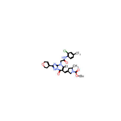 CCc1c(/C=C2\C[C@@H](C)N(C(=O)OC(C)(C)C)C2)c(=O)n2nc(C3=CCOCC3)nc2n1CC(=O)Nc1ccc(C(F)(F)F)cc1Cl